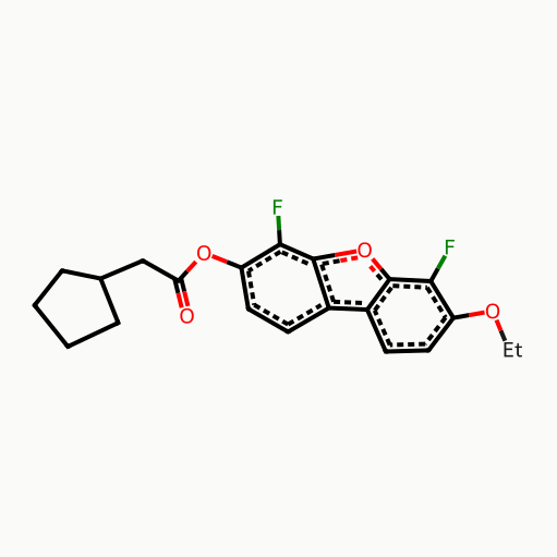 CCOc1ccc2c(oc3c(F)c(OC(=O)CC4CCCC4)ccc32)c1F